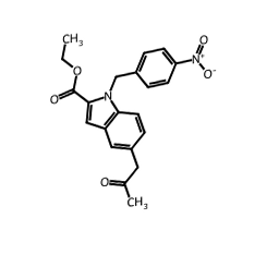 CCOC(=O)c1cc2cc(CC(C)=O)ccc2n1Cc1ccc([N+](=O)[O-])cc1